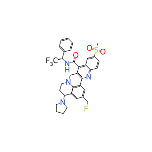 CS(=O)(=O)c1ccc2nc(-c3cccc(CF)c3)c(CN3CCC(N4CCCC4)CC3)c(C(=O)N[C@H](c3ccccc3)C(F)(F)F)c2c1